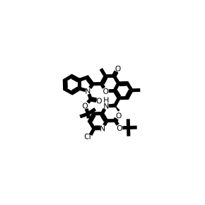 Cc1cc([C@@H](C)Nc2ccc(Cl)nc2C(=O)OC(C)(C)C)c2oc(-c3cc4ccccc4n3C(=O)OC(C)(C)C)c(C)c(=O)c2c1